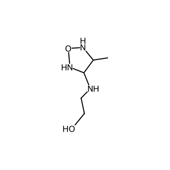 CC1NONC1NCCO